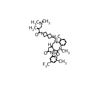 C=C(CN(C)C)C(=O)N1CC2(CC(CN3C[C@H]4CC(=O)N(c5cc(C(F)(F)F)cc(C)n5)[C@@H]4C(=O)N(C)c4cccc(C)c43)C2)C1